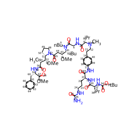 CCCCN(C(=O)CNC(=O)[C@H](C(C)C)N(C)CCc1ccc(NC(=O)[C@H](CCCNC(N)=O)NC(=O)[C@@H](NC(=O)OC(C)(C)C)C(C)C)cc1)[C@@H]([C@@H](C)CC)[C@@H](CC(=O)N1CCC[C@H]1[C@H](OC)[C@@H](C)C(=O)N[C@@H](Cc1ccccc1)C(=O)OC)OC